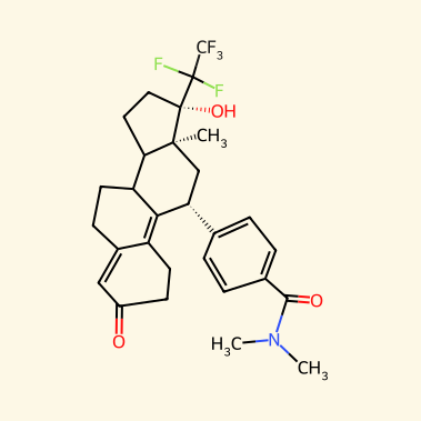 CN(C)C(=O)c1ccc([C@H]2C[C@@]3(C)C(CC[C@@]3(O)C(F)(F)C(F)(F)F)C3CCC4=CC(=O)CCC4=C32)cc1